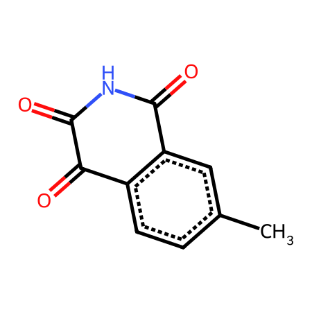 Cc1ccc2c(c1)C(=O)NC(=O)C2=O